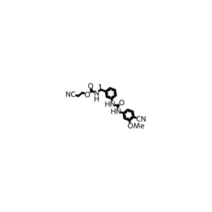 COc1cc(NC(=O)Nc2cccc([C@H](C)NC(=O)OCCC#N)c2)ccc1C#N